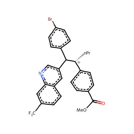 CCC[C@H](c1ccc(C(=O)OC)cc1)C(c1ccc(Br)cc1)c1cnc2cc(C(F)(F)F)ccc2c1